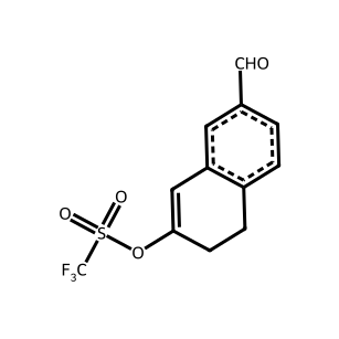 O=Cc1ccc2c(c1)C=C(OS(=O)(=O)C(F)(F)F)CC2